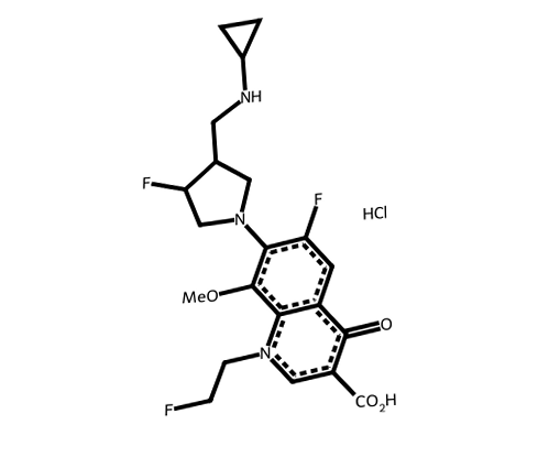 COc1c(N2CC(F)C(CNC3CC3)C2)c(F)cc2c(=O)c(C(=O)O)cn(CCF)c12.Cl